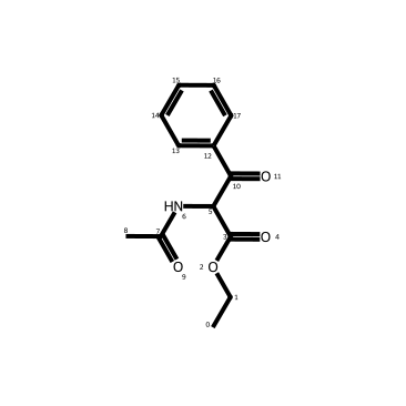 CCOC(=O)C(NC(C)=O)C(=O)c1ccccc1